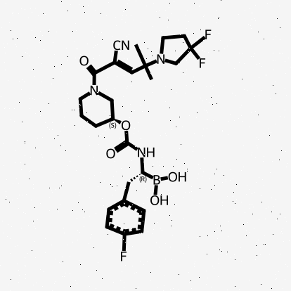 CC(C)(C=C(C#N)C(=O)N1CCC[C@H](OC(=O)N[C@@H](Cc2ccc(F)cc2)B(O)O)C1)N1CCC(F)(F)C1